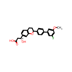 COc1cc(F)cc(-c2ccc(C3CCc4ccc([C@H](O)CC(=O)O)cc4O3)cc2)c1